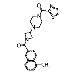 Cc1cccc2cc(C(=O)N3CC(N4CCN(C(=O)c5nccs5)CC4)C3)ccc12